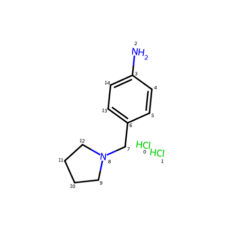 Cl.Cl.Nc1ccc(CN2CCCC2)cc1